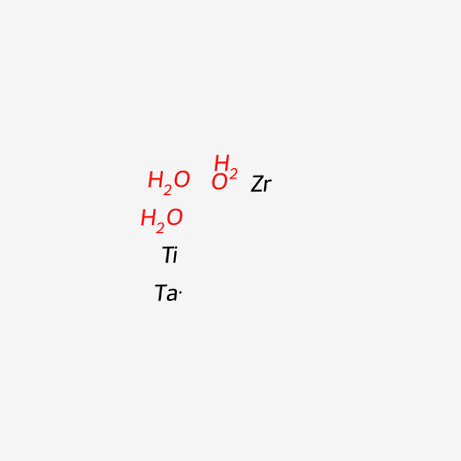 O.O.O.[Ta].[Ti].[Zr]